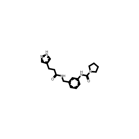 O=C(CCc1cn[nH]c1)NCc1cccc(NC(=O)N2CCCC2)c1